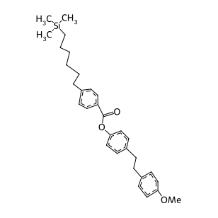 COc1ccc(CCc2ccc(OC(=O)c3ccc(CCCCCC[Si](C)(C)C)cc3)cc2)cc1